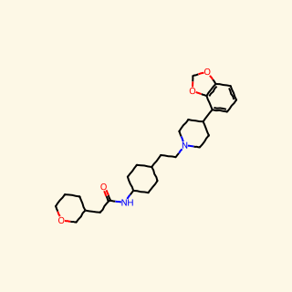 O=C(CC1CCCOC1)NC1CCC(CCN2CCC(c3cccc4c3OCO4)CC2)CC1